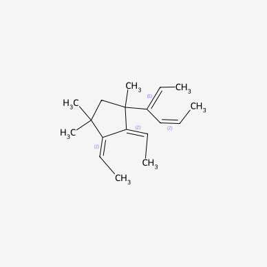 C/C=C\C(=C/C)C1(C)CC(C)(C)C(=C/C)/C1=C\C